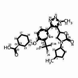 CC1CCC(N2CC(c3c(-c4ccc(O[C@H]5CCC[C@H](C(=O)O)C5)c(C(F)(F)F)n4)nnn3C)OC2=O)C1